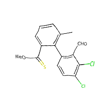 COC(=S)c1cccc(C)c1-c1ccc(Cl)c(Cl)c1C=O